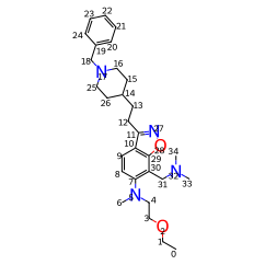 CCOCCN(C)c1ccc2c(CCC3CCN(Cc4ccccc4)CC3)noc2c1CN(C)C